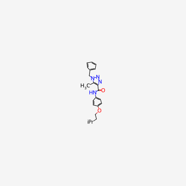 Cc1c(C(=O)Nc2ccc(OCCC(C)C)cc2)nnn1Cc1ccccc1